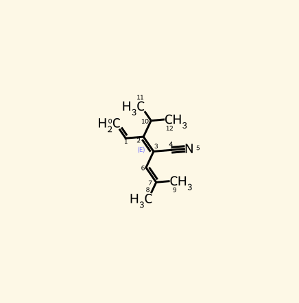 C=C/C(=C(/C#N)C=C(C)C)C(C)C